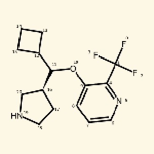 FC(F)(F)c1ncccc1OC(C1CCC1)[C@H]1CCNC1